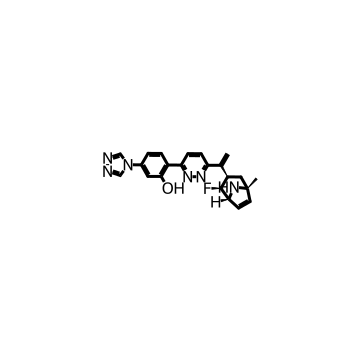 C=C(c1ccc(-c2ccc(-n3cnnc3)cc2O)nn1)[C@H]1C[C@]2(C)C=C[C@@H](N2)[C@H]1F